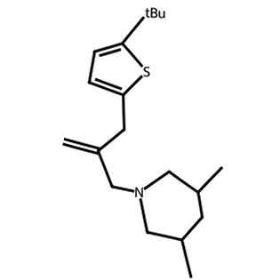 C=C(Cc1ccc(C(C)(C)C)s1)CN1CC(C)CC(C)C1